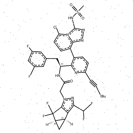 CC(C)(C)C#Cc1ccc(-c2ccc(Cl)n3c(NS(C)(=O)=O)nnc23)c([C@H](Cc2cc(F)cc(F)c2)NC(=O)Cn2nc(C(F)F)c3c2C(F)(F)[C@@H]2C[C@H]32)n1